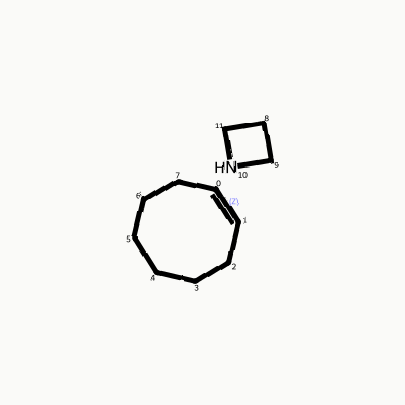 C1=C\CCCCCC/1.C1CNC1